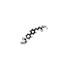 CC(C)(C)OC(=O)N1CCC(c2ccc(CC=CC(N)=O)cc2)CC1